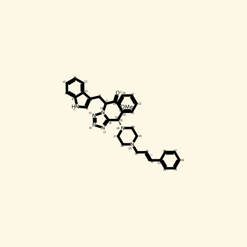 COC(=O)C(Cc1c[nH]c2ccccc12)n1nnnc1[C@H](c1ccccc1)N1CCN(C/C=C/c2ccccc2)CC1